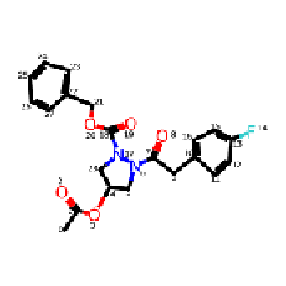 CC(=O)OC1CN(C(=O)Cc2ccc(F)cc2)N(C(=O)OCc2ccccc2)C1